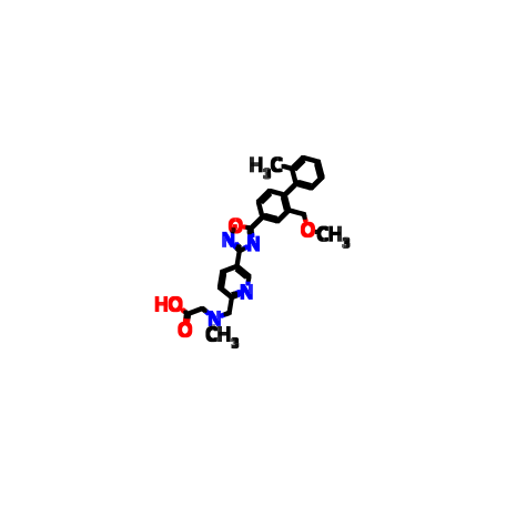 COCc1cc(-c2nc(-c3ccc(CN(C)CC(=O)O)nc3)no2)ccc1-c1ccccc1C